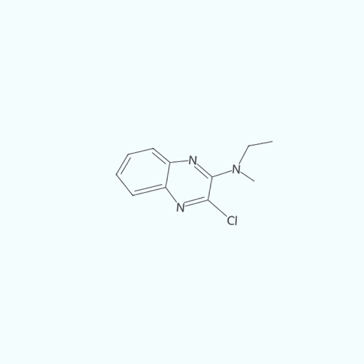 CCN(C)c1nc2ccccc2nc1Cl